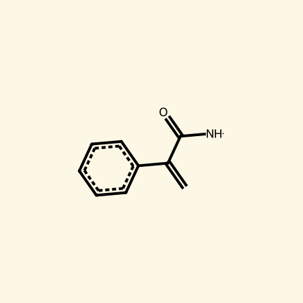 C=C(C([NH])=O)c1ccccc1